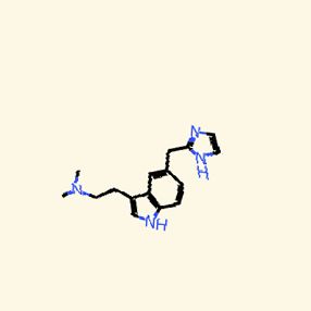 CN(C)CCc1c[nH]c2ccc(Cc3ncc[nH]3)cc12